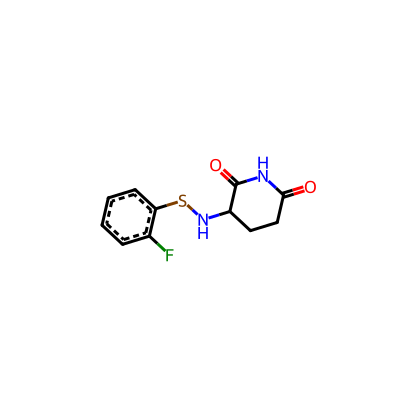 O=C1CCC(NSc2ccccc2F)C(=O)N1